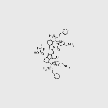 C[C@](N)(CCCN)C(=O)N1c2c(cccc2C(=O)[C@@H](N)CCc2ccccc2)SC1SC1Sc2cccc(C(=O)[C@@H](N)CCc3ccccc3)c2N1C(=O)[C@@](C)(N)CCCN.O=C(O)C(F)(F)F